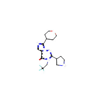 O=c1c2cnc(C3CCOCC3)n2nc(C2CCNC2)n1CC(F)(F)F